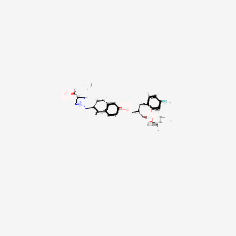 COC(=O)C1CN(CC2=C(C)c3ccc(OCC(CO[Si](C)(C)C(C)(C)C)Cc4ccc(F)cc4)cc3CC2)C1